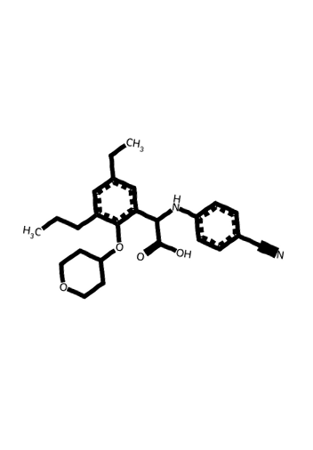 CCCc1cc(CC)cc(C(Nc2ccc(C#N)cc2)C(=O)O)c1OC1CCOCC1